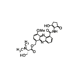 COc1ccc(COC(=O)[C@H](CO)N(C)C)c2nc3cccc(C(=O)NC4=C(O)CCC4=O)c3nc12